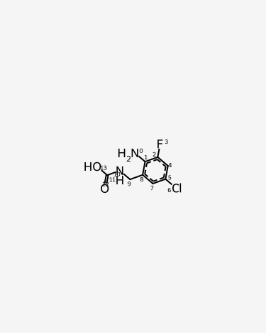 Nc1c(F)cc(Cl)cc1CNC(=O)O